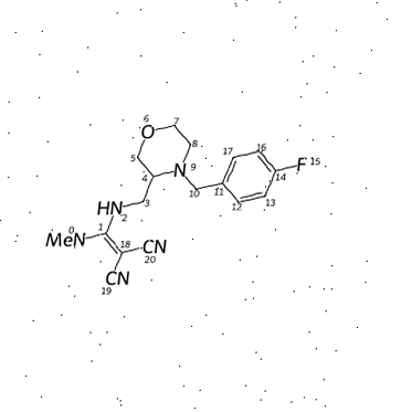 CNC(NCC1COCCN1Cc1ccc(F)cc1)=C(C#N)C#N